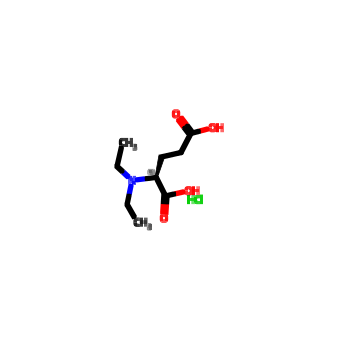 CCN(CC)[C@@H](CCC(=O)O)C(=O)O.Cl